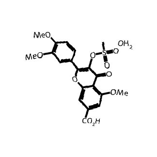 COc1ccc(-c2oc3cc(C(=O)O)cc(OC)c3c(=O)c2OS(C)(=O)=O)cc1OC.O